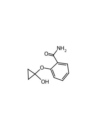 NC(=O)c1ccccc1OC1(O)CC1